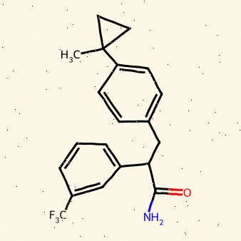 CC1(c2ccc(CC(C(N)=O)c3cccc(C(F)(F)F)c3)cc2)CC1